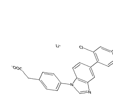 O=C([O-])Cc1ccc(-n2cnc3cc(-c4ccc(Cl)cc4Cl)ccc32)cc1.[Li+]